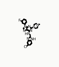 CN1CCN(c2nc(NCc3nc4cc(Cl)ccc4[nH]3)c3ncn(-c4cccc(F)c4)c3n2)CC1